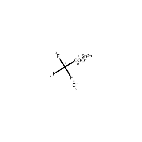 O=C([O-])C(F)(F)F.[Cl-].[Sn+2]